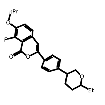 CCCOc1ccc2cc(-c3ccc(C4CCC(CC)OC4)cc3)oc(=O)c2c1F